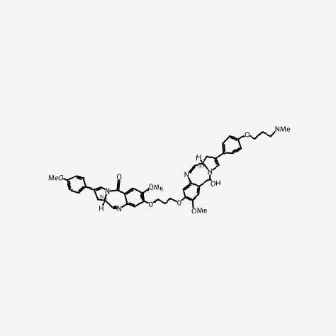 CNCCCOc1ccc(C2=CN3C(O)c4cc(OC)c(OCCCOc5cc6c(cc5OC)C(=O)N5C=C(c7ccc(OC)cc7)C[C@H]5C=N6)cc4N=C[C@@H]3C2)cc1